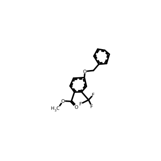 COC(=O)c1ccc(OCc2ccccc2)cc1C(F)(F)F